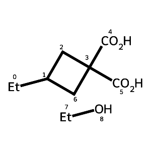 CCC1CC(C(=O)O)(C(=O)O)C1.CCO